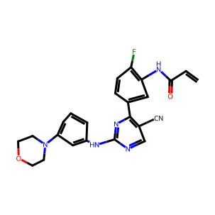 C=CC(=O)Nc1cc(-c2nc(Nc3cccc(N4CCOCC4)c3)ncc2C#N)ccc1F